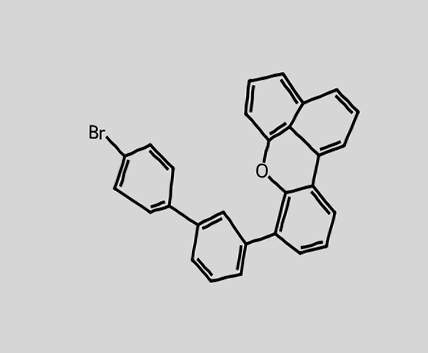 Brc1ccc(-c2cccc(-c3cccc4c3Oc3cccc5cccc-4c35)c2)cc1